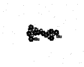 Cc1ccccc1N(c1cccc2c1OC1C(C(C)(C)C)=CC=CC21)c1ccc2cc3c(cc2c1C(C)C)oc1cc2c(C(C)C)c(N(c4ccccc4C)c4cccc5c4OC4C(C(C)(C)C)=CC=CC54)ccc2cc13